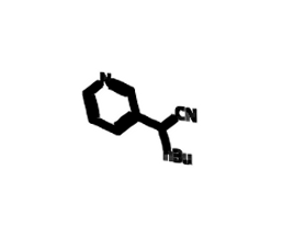 CCCCC(C#N)c1cccnc1